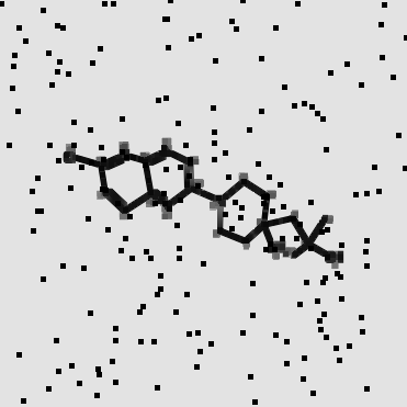 CC(C)(O)CC1(N)CCN(c2cnc3nc(Cl)ccc3n2)CC1